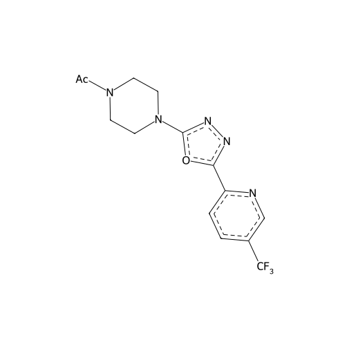 CC(=O)N1CCN(c2nnc(-c3ccc(C(F)(F)F)cn3)o2)CC1